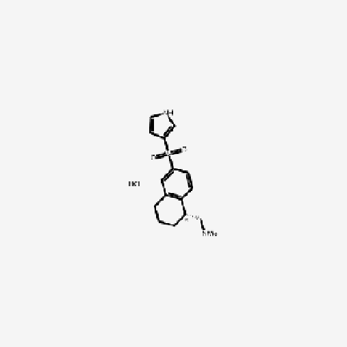 CNC[C@@H]1CCCc2cc(S(=O)(=O)c3cc[nH]c3)ccc21.Cl